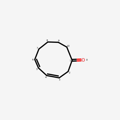 O=C1CC=CC=CCCCC1